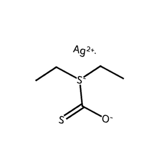 CC[S-](CC)C([O-])=S.[Ag+2]